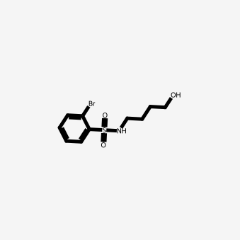 O=S(=O)(NCCCCO)c1ccccc1Br